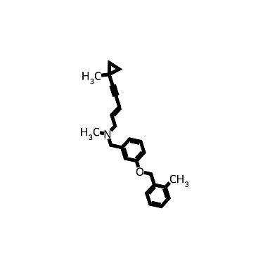 Cc1ccccc1COc1cccc(CN(C)CC=CC#CC2(C)CC2)c1